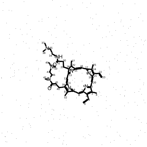 C=CC1=C(C)C2=NC1=CC1=NC(=CC3=NC(=CC4=NC(=C2)C(C=C)=C4C)C(C)C3CCC(=O)NCCN(C)C)C(CCC(=O)N(C)CCN(C)C)=C1C